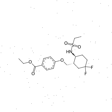 CCOC(=O)c1ccc(OC[C@H]2CC(F)(F)CC[C@@H]2NS(=O)(=O)CC)cc1